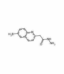 Bc1ccc2nc(CC(=O)NN)ccc2c1